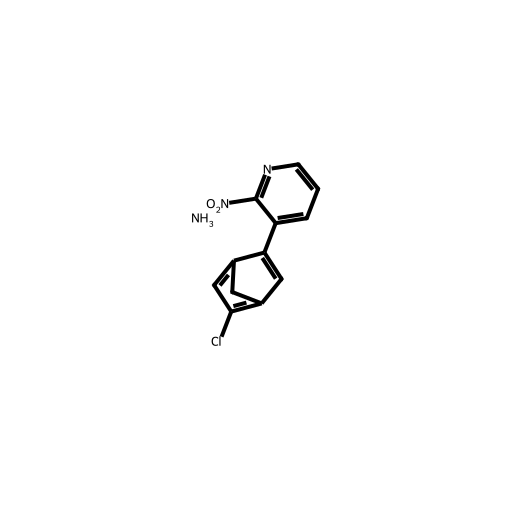 N.O=[N+]([O-])c1ncccc1C1=CC2=C(Cl)C=C1C2